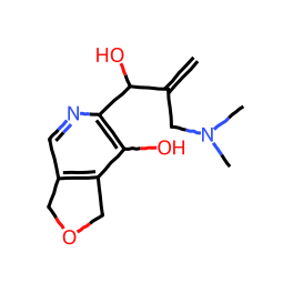 C=C(CN(C)C)C(O)c1ncc2c(c1O)COC2